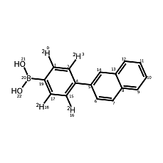 [2H]c1c([2H])c(-c2ccc3ccccc3c2)c([2H])c([2H])c1B(O)O